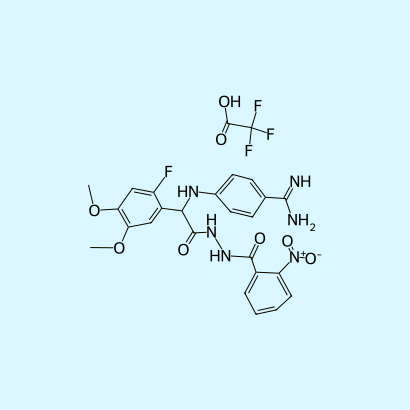 COc1cc(F)c(C(Nc2ccc(C(=N)N)cc2)C(=O)NNC(=O)c2ccccc2[N+](=O)[O-])cc1OC.O=C(O)C(F)(F)F